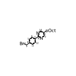 CCCCCCCCc1cnc(-c2ccc(CBr)cc2)nc1